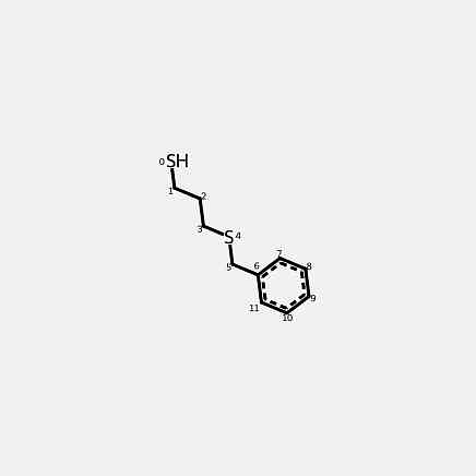 SCCCSCc1ccccc1